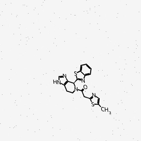 Cc1cnc(CC(=O)N2CCc3[nH]cnc3[C@H]2c2nc3ccccc3s2)s1